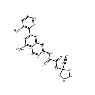 Cc1ccncc1-c1cc(N)c2cnc(NC(=O)C(=O)NC3(C#N)CCOC3)cc2c1